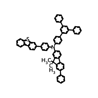 CC1(C)c2cc(-c3ccccc3)ccc2-c2ccc(N(c3ccc(-c4cc(-c5ccccc5)cc(-c5ccccc5)c4)cc3)c3ccc(-c4ccc5c(c4)sc4ccccc45)cc3)cc21